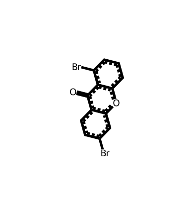 O=c1c2ccc(Br)cc2oc2cccc(Br)c12